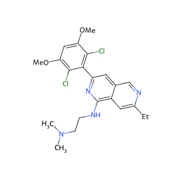 CCc1cc2c(NCCN(C)C)nc(-c3c(Cl)c(OC)cc(OC)c3Cl)cc2cn1